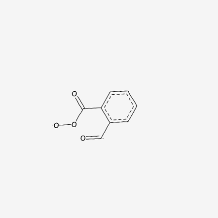 [O]OC(=O)c1ccccc1[C]=O